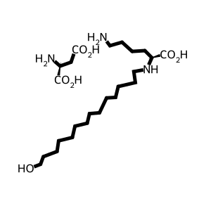 NCCCC[C@H](NCCCCCCCCCCCCCCO)C(=O)O.N[C@@H](CC(=O)O)C(=O)O